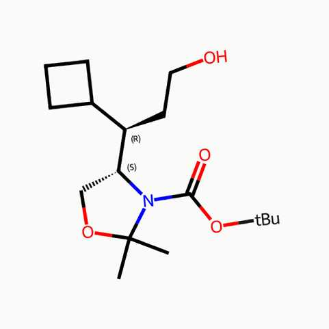 CC(C)(C)OC(=O)N1[C@@H]([C@H](CCO)C2CCC2)COC1(C)C